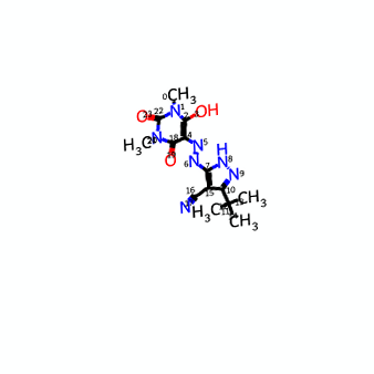 Cn1c(O)c(N=Nc2[nH]nc(C(C)(C)C)c2C#N)c(=O)n(C)c1=O